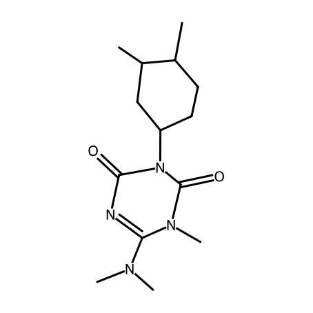 CC1CCC(n2c(=O)nc(N(C)C)n(C)c2=O)CC1C